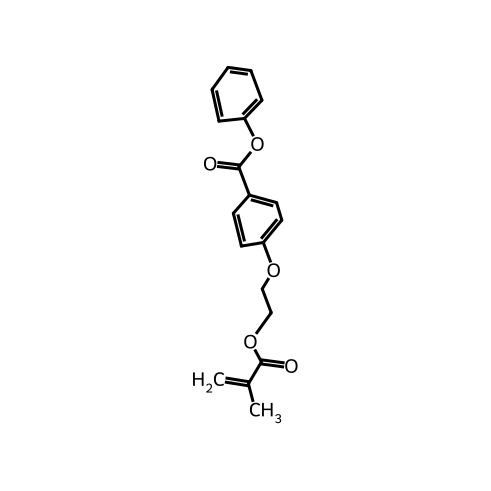 C=C(C)C(=O)OCCOc1ccc(C(=O)Oc2ccccc2)cc1